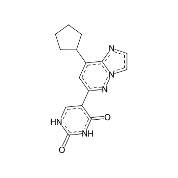 O=c1[nH]cc(-c2cc(C3CCCC3)c3nccn3n2)c(=O)[nH]1